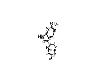 CNc1ncc2c(-c3ccc4nc(C)cn4n3)c[nH]c2n1